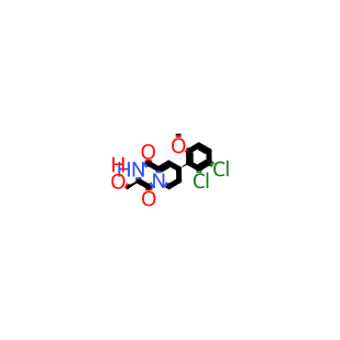 COc1ccc(Cl)c(Cl)c1[C@H]1C=C2C(=O)N[C@H](CO)C(=O)N2CC1